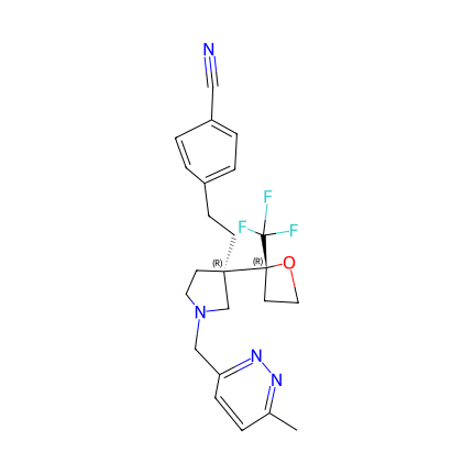 Cc1ccc(CN2CC[C@@](CCc3ccc(C#N)cc3)([C@@]3(C(F)(F)F)CCO3)C2)nn1